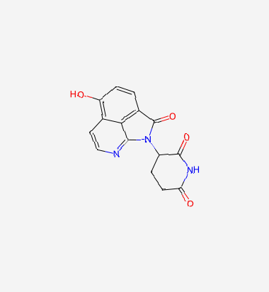 O=C1CCC(N2C(=O)c3ccc(O)c4ccnc2c34)C(=O)N1